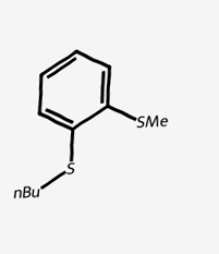 CCCCSc1ccccc1SC